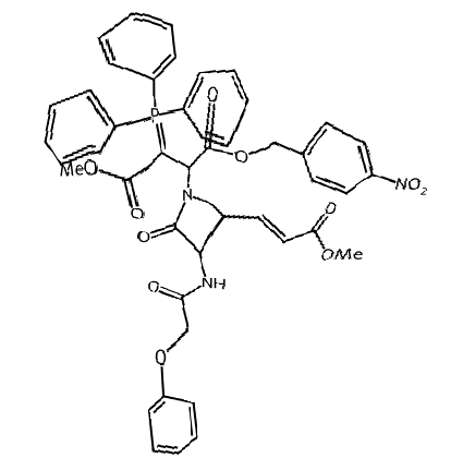 COC(=O)C=CC1C(NC(=O)COc2ccccc2)C(=O)N1C(C(=O)OCc1ccc([N+](=O)[O-])cc1)C(C(=O)OC)=P(c1ccccc1)(c1ccccc1)c1ccccc1